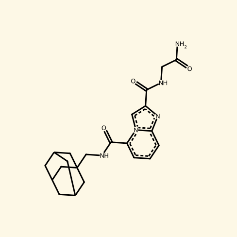 NC(=O)CNC(=O)c1cn2c(C(=O)NCC34CC5CC(CC(C5)C3)C4)cccc2n1